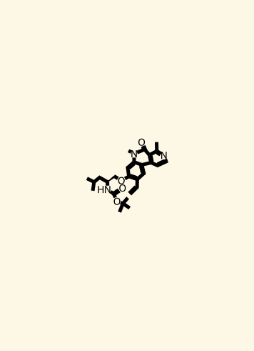 C=Cc1cc2c3ccnc(C)c3c(=O)n(C)c2cc1OC[C@H](CC(C)C)NC(=O)OC(C)(C)C